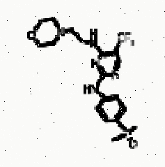 CP(C)(=O)c1ccc(Nc2ncc(C(F)(F)F)c(NCCN3CCOCC3)n2)cc1